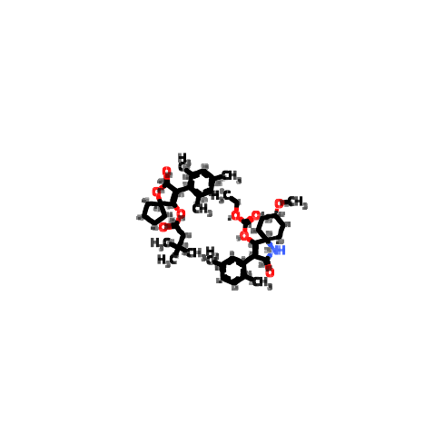 CCOC(=O)OC1=C(c2cc(C)ccc2C)C(=O)N[C@]12CC[C@@H](OC)CC2.Cc1cc(C)c(C2=C(OC(=O)CC(C)(C)C)C3(CCCC3)OC2=O)c(C)c1